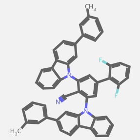 Cc1cccc(-c2ccc3c4ccccc4n(-c4cc(-c5c(F)cccc5F)cc(-n5c6ccccc6c6ccc(-c7cccc(C)c7)cc65)c4C#N)c3c2)c1